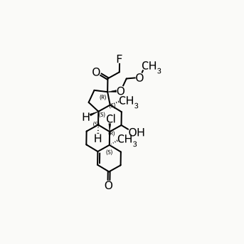 COCO[C@]1(C(=O)CF)CC[C@H]2[C@@H]3CCC4=CC(=O)CC[C@]4(C)[C@@]3(Cl)C(O)C[C@@]21C